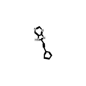 C(#Cc1nc2ncncc2[nH]1)c1ccccc1